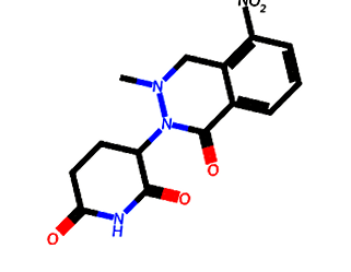 CN1Cc2c(cccc2[N+](=O)[O-])C(=O)N1C1CCC(=O)NC1=O